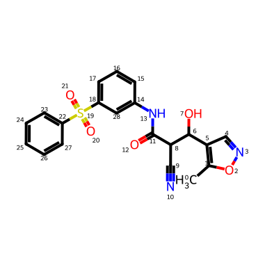 Cc1oncc1C(O)C(C#N)C(=O)Nc1cccc(S(=O)(=O)c2ccccc2)c1